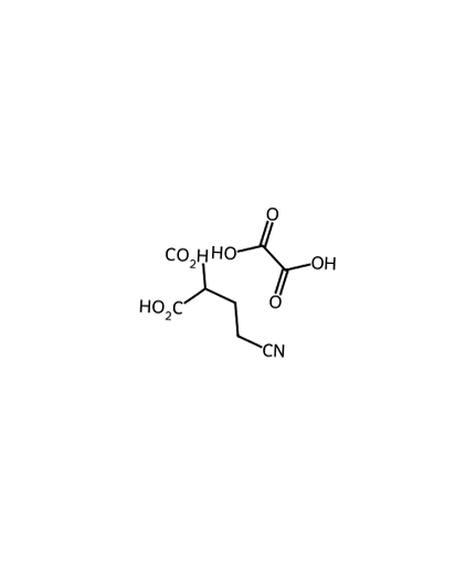 N#CCCC(C(=O)O)C(=O)O.O=C(O)C(=O)O